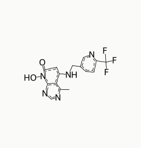 Cc1ncnc2c1c(NCc1ccc(C(F)(F)F)nc1)cc(=O)n2O